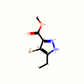 CCc1[nH]nc(C(=O)OC)c1Br